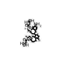 C[C@@H](CN1CCC(c2ccc(I)c3c2CN(C[C@H](C)NC(=O)CNO)CCCC3)Cc2ccc(N)cc2C1)NC(=O)CNO